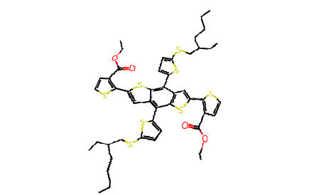 CCCCC(CC)CSc1ccc(-c2c3cc(-c4sccc4C(=O)OCC)sc3c(-c3ccc(SCC(CC)CCCC)s3)c3cc(-c4sccc4C(=O)OCC)sc23)s1